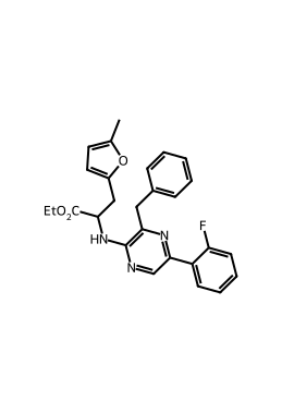 CCOC(=O)C(Cc1ccc(C)o1)Nc1ncc(-c2ccccc2F)nc1Cc1ccccc1